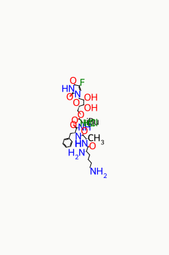 CC[C@H](C)[C@H](NC(=O)[C@H](Cc1ccccc1)NC(=O)[C@H](C)NC(=O)[C@@H](N)CCCCN)C(=O)OC[C@H]1O[C@@H](n2cc(F)c(=O)[nH]c2=O)[C@H](O)[C@@H]1O.Cl.Cl